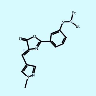 CCN(CC)Sc1cccc(C2=N/C(=C\c3cnn(C)c3)C(=O)O2)c1